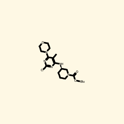 Cc1c(N[C@@H]2CCCN(C(=O)OC(C)(C)C)C2)nc(Cl)nc1N1CCOCC1